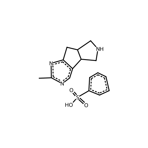 Cc1ncc2c(n1)CC1CNCC21.O=S(=O)(O)c1ccccc1